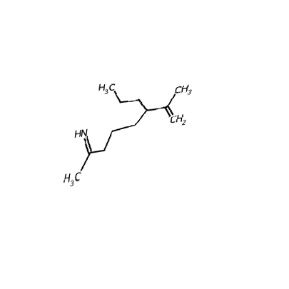 C=C(C)C(CCC)CCCC(C)=N